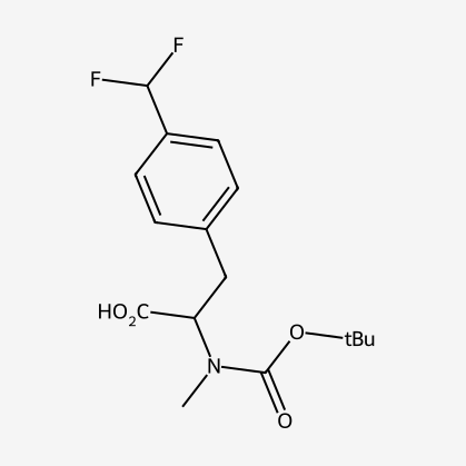 CN(C(=O)OC(C)(C)C)C(Cc1ccc(C(F)F)cc1)C(=O)O